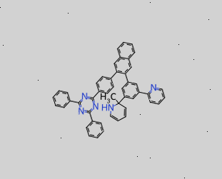 CC1(c2cc(-c3ccccn3)cc(-c3cc4ccccc4cc3-c3ccc(-c4nc(-c5ccccc5)nc(-c5ccccc5)n4)cc3)c2)C=CC=CN1